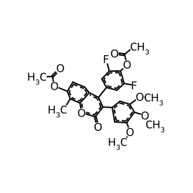 COc1cc(-c2c(-c3cc(F)c(OC(C)=O)c(F)c3)c3ccc(OC(C)=O)c(C)c3oc2=O)cc(OC)c1OC